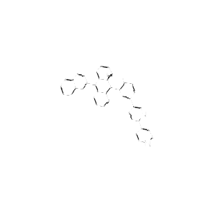 Cc1ccc(-c2ccc(-c3ccncc3)nc2)cc1-c1c2ccccc2c(-c2ccc3ccccc3c2)c2ccccc12